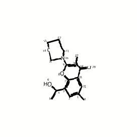 Cc1cc(C(C)O)c2oc(N3CCCCC3)c(C)c(=O)c2c1